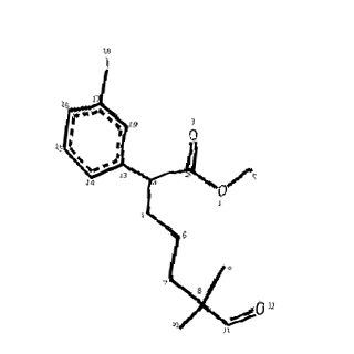 COC(=O)C(CCCC(C)(C)C=O)c1cccc(I)c1